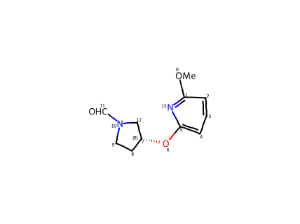 COc1cccc(O[C@@H]2CCN(C=O)C2)n1